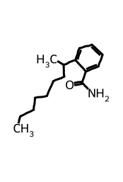 CCCCCCCC(C)c1ccccc1C(N)=O